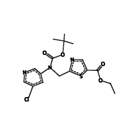 CCOC(=O)c1cnc(CN(C(=O)OC(C)(C)C)c2cncc(Cl)c2)s1